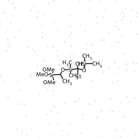 CCC(C)(O[SiH](C)C)[Si](C)(C)OC(C)[Si](OC)(OC)OC